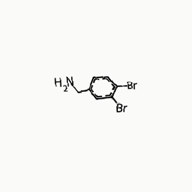 NCc1ccc(Br)c(Br)c1